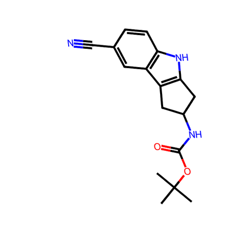 CC(C)(C)OC(=O)NC1Cc2[nH]c3ccc(C#N)cc3c2C1